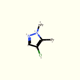 CCCn1n[c]c(Cl)c1C(C)C